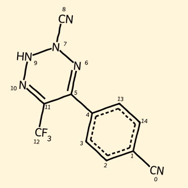 N#Cc1ccc(C2=NN(C#N)NN=C2C(F)(F)F)cc1